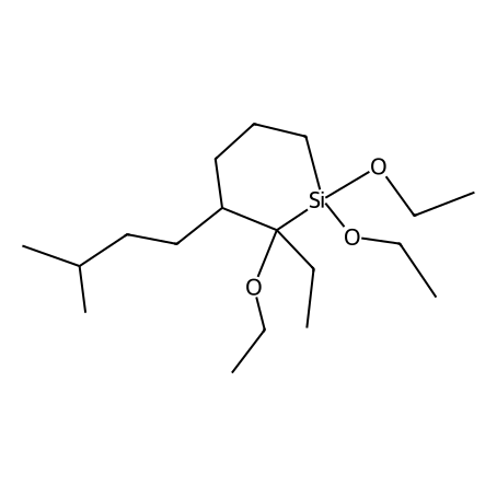 CCOC1(CC)C(CCC(C)C)CCC[Si]1(OCC)OCC